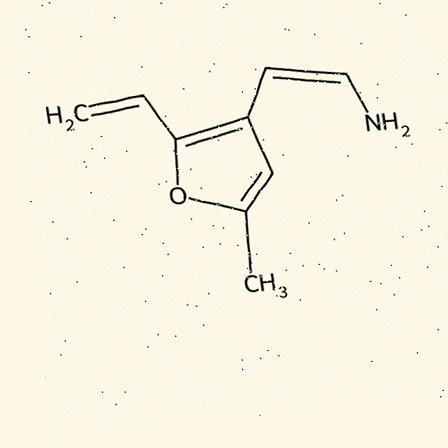 C=Cc1oc(C)cc1/C=C\N